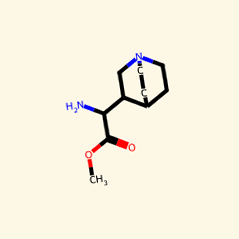 COC(=O)C(N)C1CN2CCC1CC2